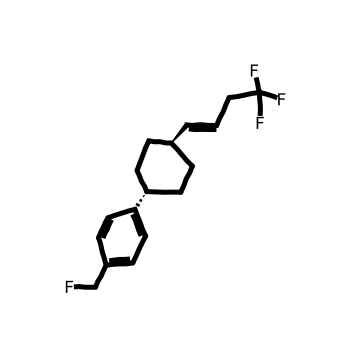 FCc1ccc([C@H]2CC[C@H](/C=C/CC(F)(F)F)CC2)cc1